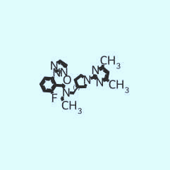 CCN(C[C@H]1CCN(c2nc(C)cc(C)n2)C1)C(=O)c1c(F)cccc1-n1nccn1